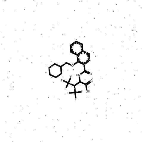 O=C(NC(C(=O)O)C(C(F)(F)F)C(F)(F)F)c1ccc2ccccc2c1OCC1CCCCC1